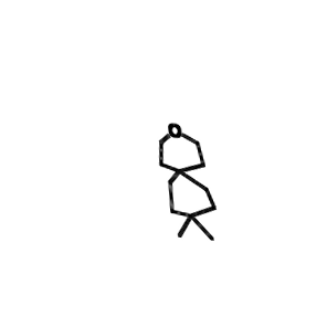 CC1(C)CCC2(CCOCC2)CC1